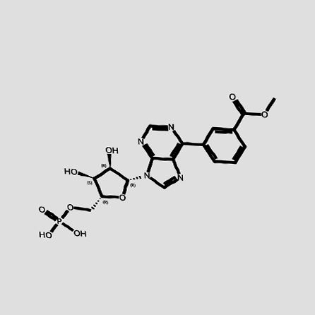 COC(=O)c1cccc(-c2ncnc3c2ncn3[C@@H]2O[C@H](COP(=O)(O)O)[C@@H](O)[C@H]2O)c1